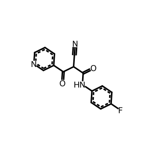 N#CC(C(=O)Nc1ccc(F)cc1)C(=O)c1cccnc1